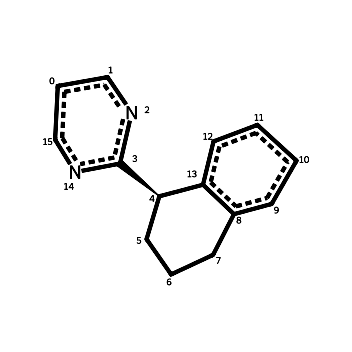 c1cnc([C@@H]2CCCc3ccccc32)nc1